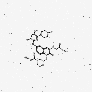 CNC(=O)COc1cc2cc(Nc3nc(N4C[C@@H](C)C(F)[C@@H](C)C4)c(C#N)cc3Cl)ccc2n(CC2CN(C(=O)OC(C)(C)C)CCO2)c1=O